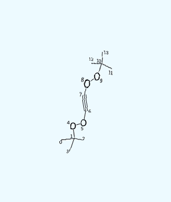 CC(C)(C)OOC#COOC(C)(C)C